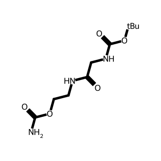 CC(C)(C)OC(=O)NCC(=O)NCCOC(N)=O